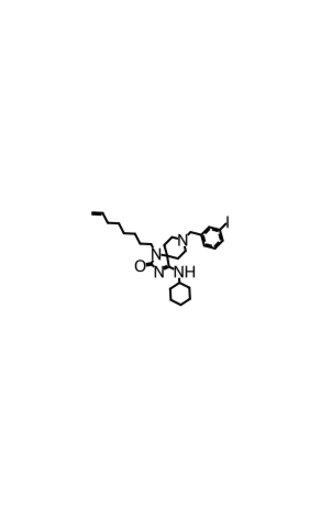 C=CCCCCCCN1C(=O)N=C(NC2CCCCC2)C12CCN(Cc1cccc(I)c1)CC2